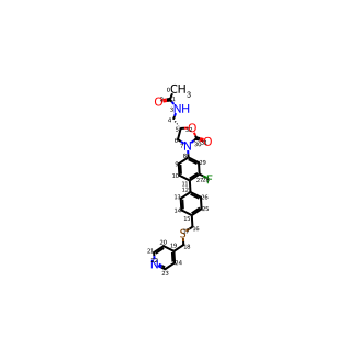 CC(=O)NC[C@H]1CN(c2ccc(-c3ccc(CSCc4ccncc4)cc3)c(F)c2)C(=O)O1